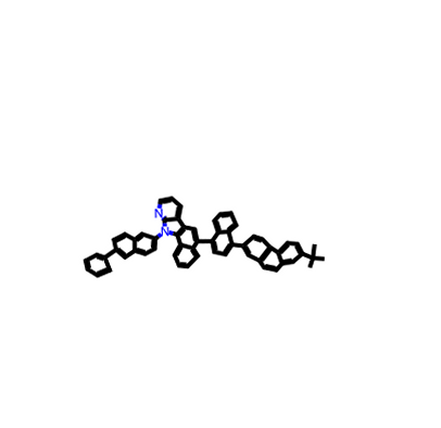 CC(C)(C)c1ccc2c(ccc3cc(-c4ccc(-c5cc6c7cccnc7n(-c7ccc8cc(-c9ccccc9)ccc8c7)c6c6ccccc56)c5ccccc45)ccc32)c1